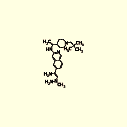 C=C(Nc1cc2cc(/C(N)=C/N(C)N)ccc2cn1)C1CCN(CC(C)(C)C)CC1